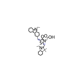 CCn1c2ccccc2c2cc(/C=c3/s/c(=C\C4=[N+](CC)c5ccccc5C4(C)C)n(CC(=O)O)c3=O)ccc21